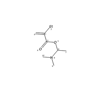 C=C(CC)C(=O)OC(C)N(C)C